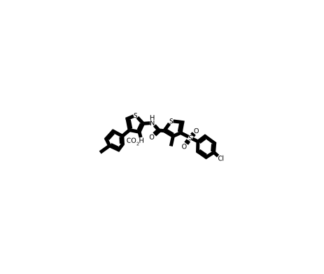 Cc1ccc(-c2csc(NC(=O)c3scc(S(=O)(=O)c4ccc(Cl)cc4)c3C)c2C(=O)O)cc1